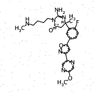 CNCCCCN1C(N)=N[C@](C)(c2cc(-c3cc(-c4cnc(OC)cn4)no3)ccc2F)C[S@@+]1[O-]